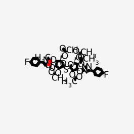 CC(=O)OC[C@H]1O[C@@H](S[C@@H]2O[C@H](COC(C)=O)[C@H](OC(C)=O)[C@H](On3cc(-c4ccc(F)cc4)nn3)[C@H]2OC(C)=O)[C@H](OC(C)=O)[C@@H](On2cc(-c3ccc(F)cc3)nn2)[C@H]1OC(C)=O